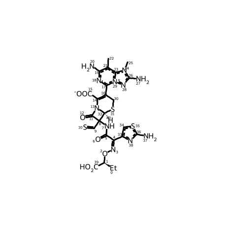 CC[C@H](O/N=C(\C(=O)NC1(C=S)C(=O)N2C(C(=O)[O-])=C(c3nc(N)c(C)c4n(C)c(N)n[n+]34)CS[C@H]21)c1csc(N)n1)C(=O)O